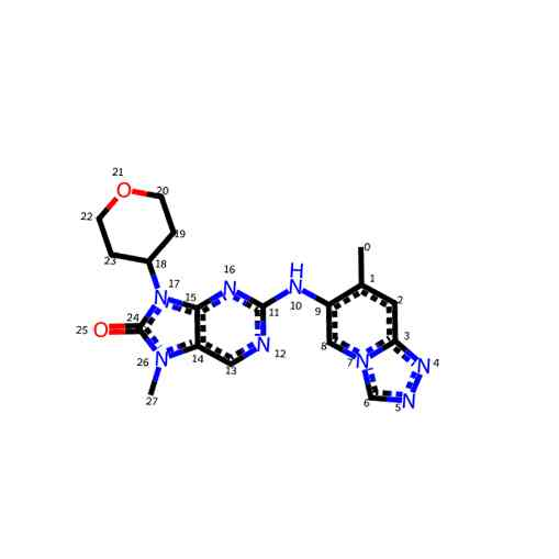 Cc1cc2nncn2cc1Nc1ncc2c(n1)n(C1CCOCC1)c(=O)n2C